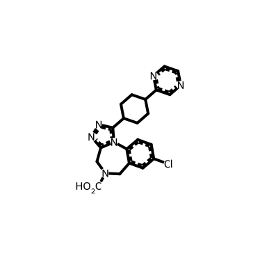 O=C(O)N1Cc2cc(Cl)ccc2-n2c(nnc2C2CCC(c3cnccn3)CC2)C1